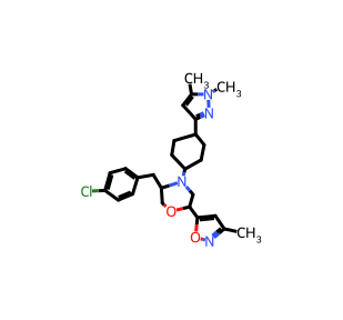 Cc1cc(C2CN(C3CCC(c4cc(C)n(C)n4)CC3)C(Cc3ccc(Cl)cc3)CO2)on1